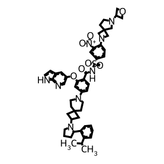 CC(C)c1ccccc1C1CCCN1C1CC2(CCN(c3ccc(C(=O)NS(=O)(=O)c4ccc(N5CC6(CCN(C7COC7)C6)C5)c([N+](=O)[O-])c4)c(Oc4cnc5[nH]ccc5c4)c3)CC2)C1